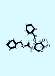 CC[C@H]1OC[C@H](NC(=O)OCc2ccccc2)[C@@H](OCc2ccccc2)[C@H]1C